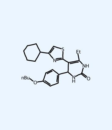 CCCCOc1ccc(C2NC(=O)NC(CC)=C2c2nc(C3CCCCC3)cs2)cc1